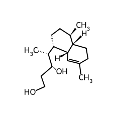 CC1=C[C@H]2[C@@H](CC1)[C@H](C)CC[C@H]2[C@@H](C)[C@H](O)CCO